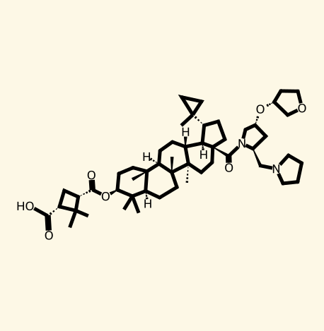 CC1([C@@H]2CC[C@]3(C(=O)N4C[C@H](O[C@@H]5CCOC5)C[C@H]4CN4CCCC4)CC[C@]4(C)[C@H](CC[C@@H]5[C@@]6(C)CC[C@H](OC(=O)[C@H]7C[C@@H](C(=O)O)C7(C)C)C(C)(C)[C@@H]6CC[C@]54C)[C@@H]23)CC1